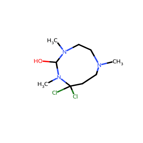 CN1CCN(C)C(O)N(C)C(Cl)(Cl)CC1